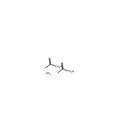 C=C(C)C(=O)O.C=C(C)C(=O)O.[SiH4]